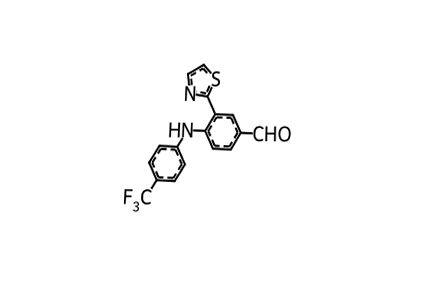 O=Cc1ccc(Nc2ccc(C(F)(F)F)cc2)c(-c2nccs2)c1